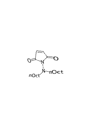 CCCCCCCCN(CCCCCCCC)N1C(=O)C=CC1=O